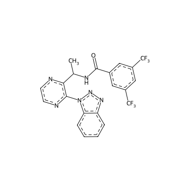 CC(NC(=O)c1cc(C(F)(F)F)cc(C(F)(F)F)c1)c1nccnc1-n1nnc2ccccc21